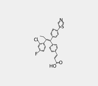 CCC(=C(c1ccc(C=CC(=O)O)cc1)c1ccc(-c2cncs2)cc1)c1ccc(F)cc1Cl